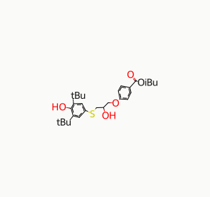 CC(C)COC(=O)c1ccc(OCC(O)CSc2cc(C(C)(C)C)c(O)c(C(C)(C)C)c2)cc1